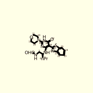 CCCC(CNC=O)Nc1nc(N2CCOCC2)[nH]c(=O)c1-c1nc2ccccc2s1